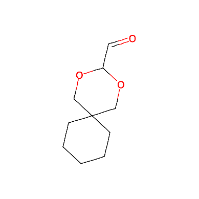 O=CC1OCC2(CCCCC2)CO1